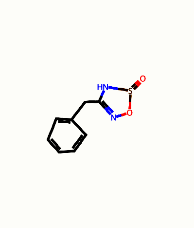 O=S1NC(Cc2ccccc2)=NO1